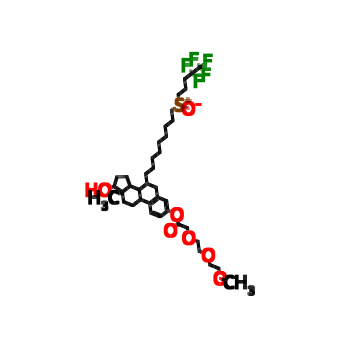 COCCOCCOCC(=O)Oc1ccc2c(c1)CC(CCCCCCCCC[S+]([O-])CCCC(F)(F)C(F)(F)F)C1C2CCC2(C)C(O)CCC12